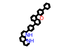 C1=CNC2C(=C1)C=CC1=C2NC(c2ccc(-c3ccc4c5c(cccc35)-c3ccc(-c5ccccc5)cc3O4)cc2)C=C1